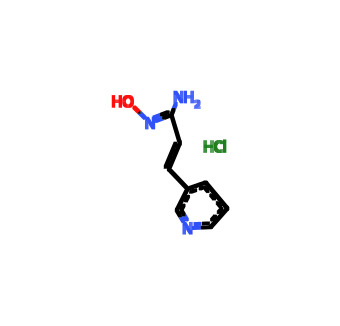 Cl.NC(C=Cc1cccnc1)=NO